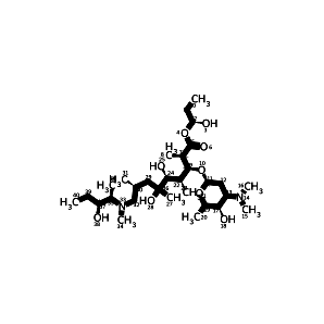 CC[C@H](O)OC(=O)[C@H](C)[C@@H](O[C@H]1CC(N(C)C)[C@H](O)C(C)O1)[C@H](C)[C@@H](O)C(C)(O)C[C@@H](C)CN(C)[C@H](C)[C@@H](O)CC